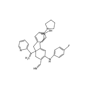 C=C(c1ccccn1)C1(Cc2ccc(N3CCCC3)cc2)CC(C=N)=C(Nc2ccc(F)cc2)C=C1CCNS